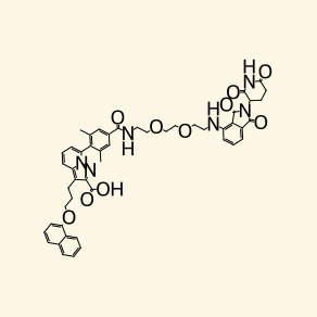 Cc1cc(C(=O)NCCOCCOCCNc2cccc3c2C(=O)N(C2CCC(=O)NC2=O)C3=O)cc(C)c1-c1cccc2c(CCCOc3cccc4ccccc34)c(C(=O)O)nn12